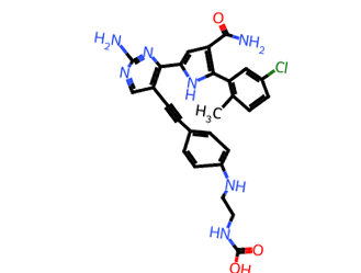 Cc1ccc(Cl)cc1-c1[nH]c(-c2nc(N)ncc2C#Cc2ccc(NCCNC(=O)O)cc2)cc1C(N)=O